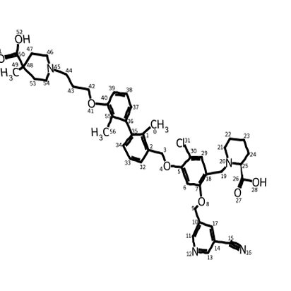 Cc1c(COc2cc(OCc3cncc(C#N)c3)c(CN3CCCC[C@H]3C(=O)O)cc2Cl)cccc1-c1cccc(OCCCN2CCC(C)(C(=O)O)CC2)c1C